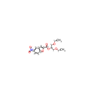 CCOCC(COCC)OC(=O)c1cc2cc([N+](=O)[O-])ccc2o1